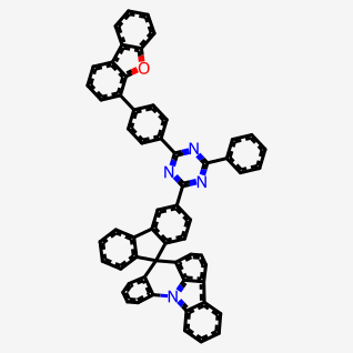 c1ccc(-c2nc(-c3ccc(-c4cccc5c4oc4ccccc45)cc3)nc(-c3ccc4c(c3)-c3ccccc3C43c4ccccc4-n4c5ccccc5c5cccc3c54)n2)cc1